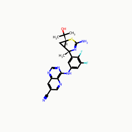 CC(C)(O)[C@]12C[C@H]1[C@@](C)(c1cc(Nc3ncnc4cc(C#N)cnc34)cc(F)c1F)N=C(N)S2